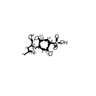 CC1=NN(c2cc(Cl)c(S(=O)(=O)O)cc2Cl)C(C=O)C1